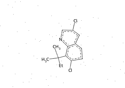 CCC(C)(C)c1c(Cl)ccc2cc(Cl)cnc12